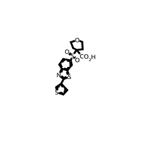 O=C(O)C1(S(=O)(=O)c2ccc3nc(-c4ccsc4)sc3c2)CCOCC1